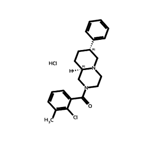 Cc1cccc(C(=O)N2CCN3C[C@@H](c4ccccc4)CC[C@@H]3C2)c1Cl.Cl